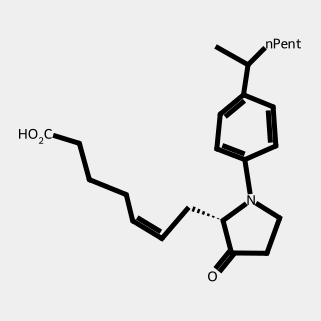 CCCCCC(C)c1ccc(N2CCC(=O)[C@@H]2C/C=C\CCCC(=O)O)cc1